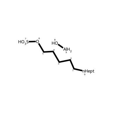 CCCCCCCCCCCCOS(=O)(=O)O.[OH][AlH2]